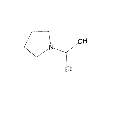 CCC(O)N1CCCC1